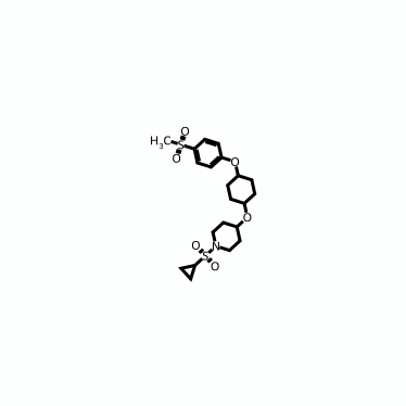 CS(=O)(=O)c1ccc(OC2CCC(OC3CCN(S(=O)(=O)C4CC4)CC3)CC2)cc1